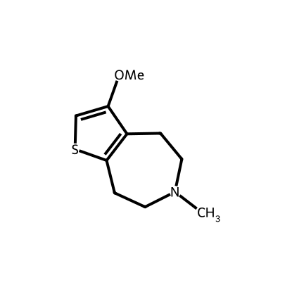 COc1csc2c1CCN(C)CC2